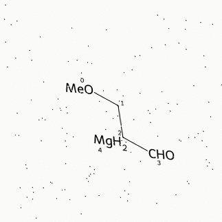 COCCC=O.[MgH2]